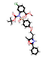 COC(=O)c1ccc(Cl)cc1N(C(=O)OC(C)(C)C)S(=O)(=O)c1ccc(OCCc2nc(-c3ccccc3)oc2C)cc1